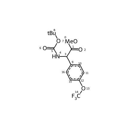 COC(=O)C(NC(=O)OC(C)(C)C)c1ccc(OC(F)(F)F)cc1